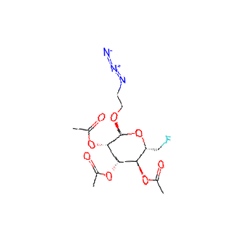 CC(=O)O[C@@H]1[C@H](OC(C)=O)[C@@H](OCCN=[N+]=[N-])O[C@H](CF)[C@H]1OC(C)=O